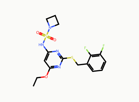 CCOc1cc(NS(=O)(=O)N2CCC2)nc(SCc2cccc(F)c2F)n1